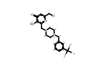 O=c1cc(CCl)oc(CN2CCN(Cc3cccc(C(F)(F)F)c3)CC2)c1O